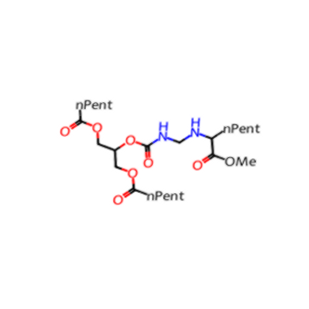 CCCCCC(=O)OCC(COC(=O)CCCCC)OC(=O)NCNC(CCCCC)C(=O)OC